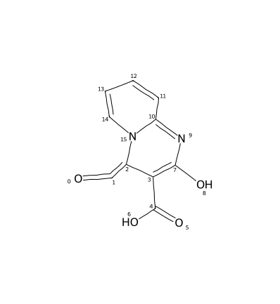 O=C=C1C(C(=O)O)=C(O)N=C2C=CC=CN12